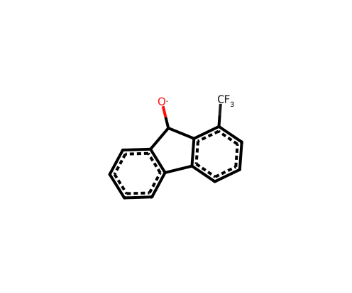 [O]C1c2ccccc2-c2cccc(C(F)(F)F)c21